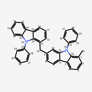 Cc1cccc2c3ccc(Cc4cccc5c6ccccc6n(-c6ccccc6)c45)cc3n(-c3ccccc3)c12